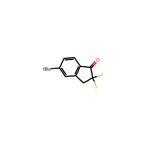 CC(C)(C)c1ccc2c(c1)CC(F)(F)C2=O